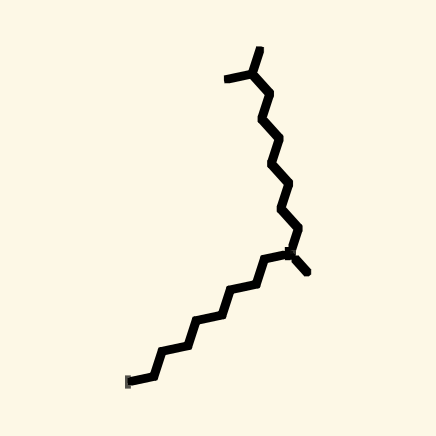 CC(C)CCCCCCCN(C)CCCCCCCCI